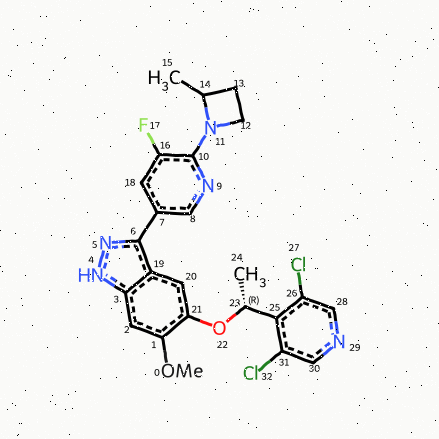 COc1cc2[nH]nc(-c3cnc(N4CCC4C)c(F)c3)c2cc1O[C@H](C)c1c(Cl)cncc1Cl